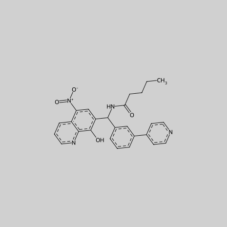 CCCCC(=O)NC(c1cccc(-c2ccncc2)c1)c1cc([N+](=O)[O-])c2cccnc2c1O